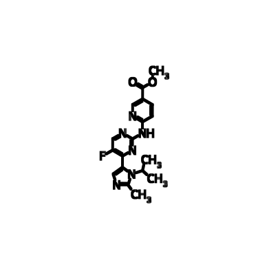 COC(=O)c1ccc(Nc2ncc(F)c(-c3cnc(C)n3C(C)C)n2)nc1